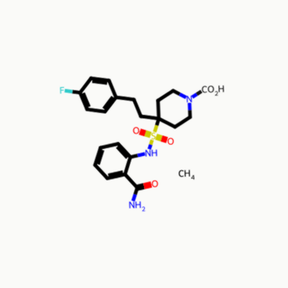 C.NC(=O)c1ccccc1NS(=O)(=O)C1(CCc2ccc(F)cc2)CCN(C(=O)O)CC1